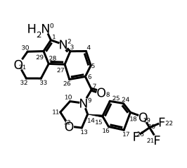 Nc1nc2ccc(C(=O)N3CCOC[C@@H]3c3ccc(OC(F)(F)F)cc3)cc2c2c1COCC2